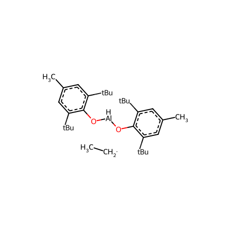 Cc1cc(C(C)(C)C)c([O][AlH][O]c2c(C(C)(C)C)cc(C)cc2C(C)(C)C)c(C(C)(C)C)c1.[CH2]C